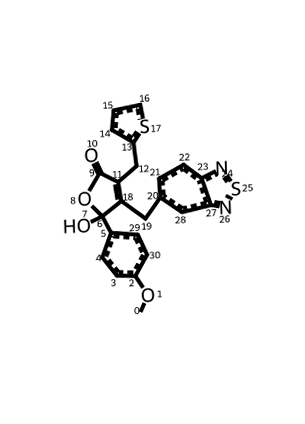 COc1ccc(C2(O)OC(=O)C(Cc3cccs3)=C2Cc2ccc3nsnc3c2)cc1